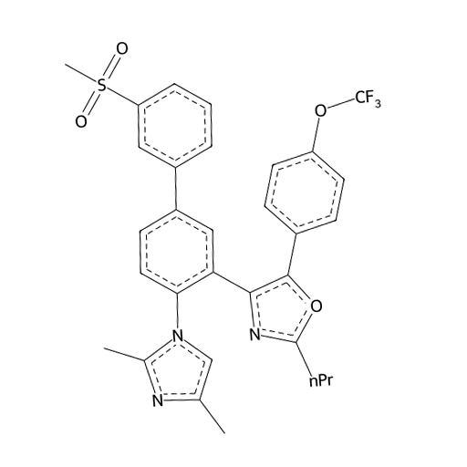 CCCc1nc(-c2cc(-c3cccc(S(C)(=O)=O)c3)ccc2-n2cc(C)nc2C)c(-c2ccc(OC(F)(F)F)cc2)o1